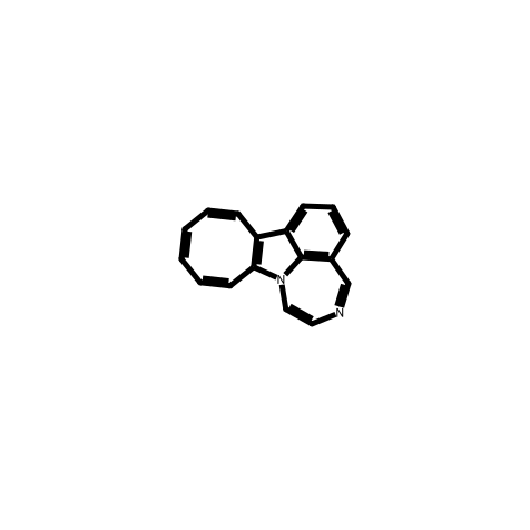 C1=Cn2c3c(c4cccc(c42)C=N1)\C=C/C=C\C=C/3